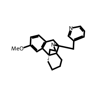 COc1ccc2c(c1)[C@]13CCCCC1C(C2)N(Cc1cccnc1)CC3